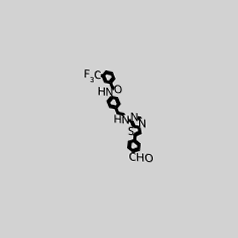 O=Cc1ccc(-c2cc3ncnc(NCCc4ccc(NC(=O)c5cccc(C(F)(F)F)c5)cc4)c3s2)cc1